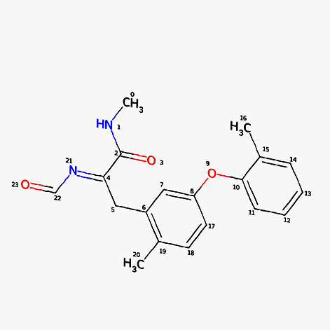 CNC(=O)/C(Cc1cc(Oc2ccccc2C)ccc1C)=N/C=O